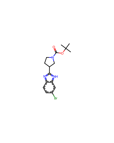 CC(C)(C)OC(=O)N1CCC(c2nc3ccc(Br)cc3[nH]2)C1